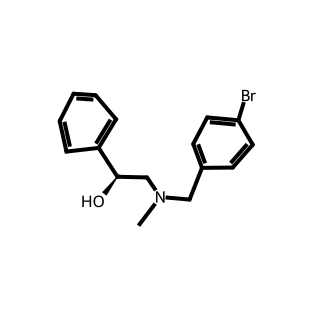 CN(Cc1ccc(Br)cc1)C[C@@H](O)c1ccccc1